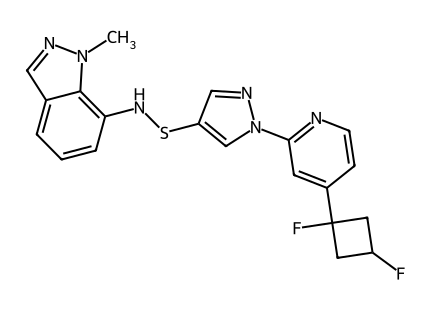 Cn1ncc2cccc(NSc3cnn(-c4cc(C5(F)CC(F)C5)ccn4)c3)c21